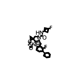 CS(=O)(=O)N[C@@H]1[C@H](Cc2cccc(-c3ccccc3)c2F)N(C(=O)NC23CC(F)(C2)C3)CC12CC2